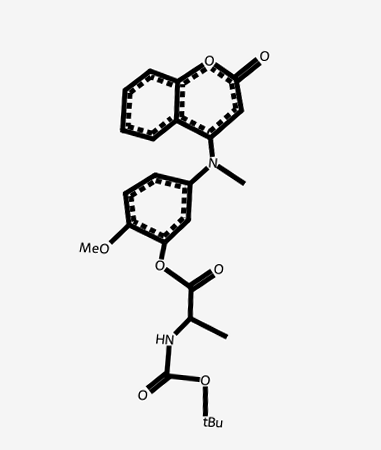 COc1ccc(N(C)c2cc(=O)oc3ccccc23)cc1OC(=O)C(C)NC(=O)OC(C)(C)C